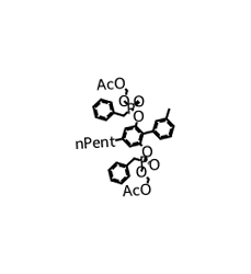 CCCCCc1cc(OP(=O)(Cc2ccccc2)OCOC(C)=O)c(-c2cccc(C)c2)c(OP(=O)(Cc2ccccc2)OCOC(C)=O)c1